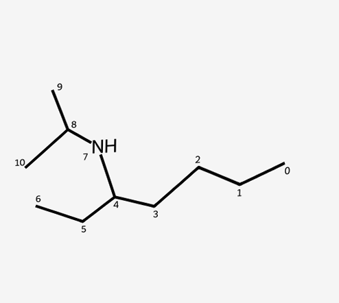 CCCCC(CC)NC(C)C